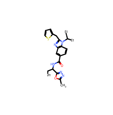 CCC(CC)n1c(Cc2cccs2)nc2cc(C(=O)NC(CC(C)C)c3nnc(C)o3)ccc21